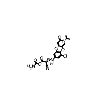 CC(C)n1cc(Oc2c(Cl)cc(N/N=C(\C#N)C(=O)OC(N)=O)cc2Cl)ccc1=O